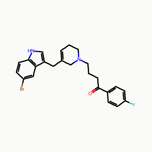 O=C(CCCN1CCC=C(Cc2c[nH]c3ccc(Br)cc23)C1)c1ccc(F)cc1